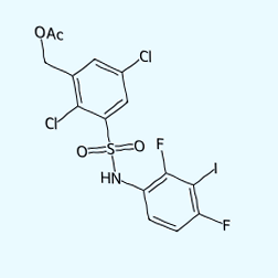 CC(=O)OCc1cc(Cl)cc(S(=O)(=O)Nc2ccc(F)c(I)c2F)c1Cl